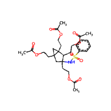 CC(=O)OCCC1C(CCOC(C)=O)(NS(=O)(=O)c2ccccc2)CC2(CCOC(C)=O)CC12CCOC(C)=O